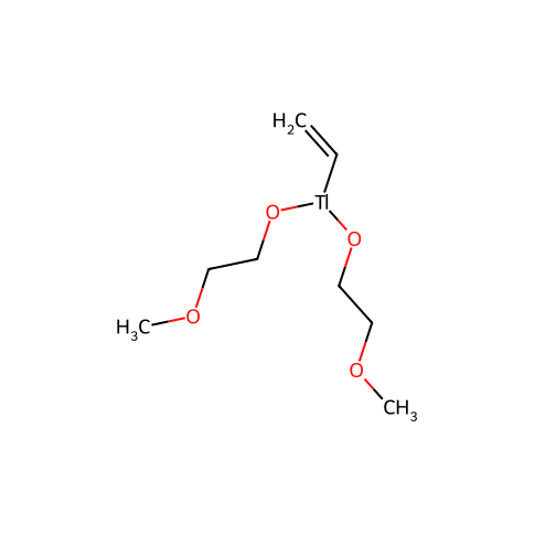 C=[CH][Tl]([O]CCOC)[O]CCOC